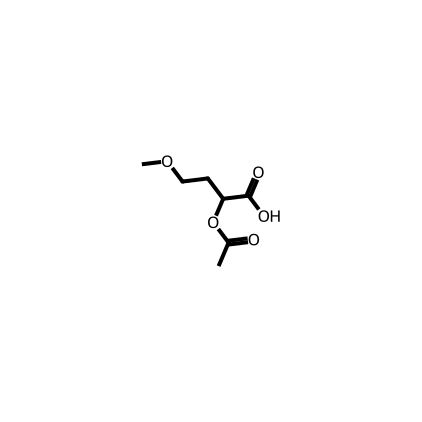 COCCC(OC(C)=O)C(=O)O